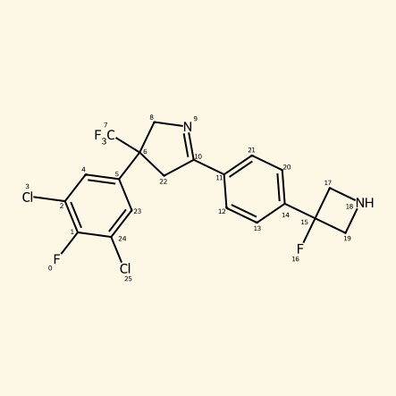 Fc1c(Cl)cc(C2(C(F)(F)F)CN=C(c3ccc(C4(F)CNC4)cc3)C2)cc1Cl